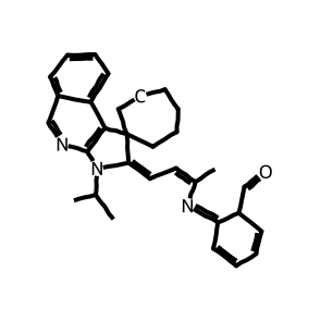 CC(=C/C=C1/N(C(C)C)c2ncc3ccccc3c2C12CCCCCC2)/N=C1/C=CC=CC1C=O